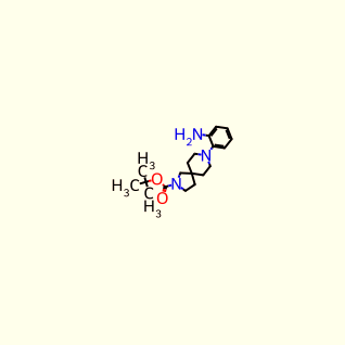 CC(C)(C)OC(=O)N1CCC2(CCN(c3ccccc3N)CC2)C1